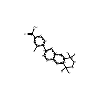 Cc1cc(C(=O)O)ccc1-c1ccc2cc3c(cc2c1)C(C)(C)CCC3(C)C